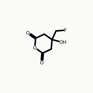 O=C1CC(O)(CF)CC(=O)O1